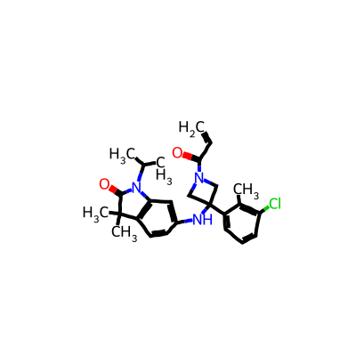 C=CC(=O)N1CC(Nc2ccc3c(c2)N(C(C)C)C(=O)C3(C)C)(c2cccc(Cl)c2C)C1